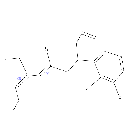 C=C(C)CC(C/C(=C/C(=C\CC)CC)SC)c1cccc(F)c1C